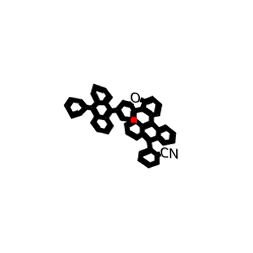 N#CC1CC=CC=C1c1c2ccccc2c(-c2cccc3oc4cc(-c5c6ccccc6c(-c6ccccc6)c6ccccc56)ccc4c23)c2ccccc12